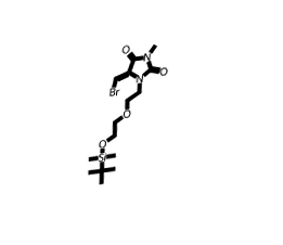 CN1C(=O)/C(=C/Br)N(CCOCCO[Si](C)(C)C(C)(C)C)C1=O